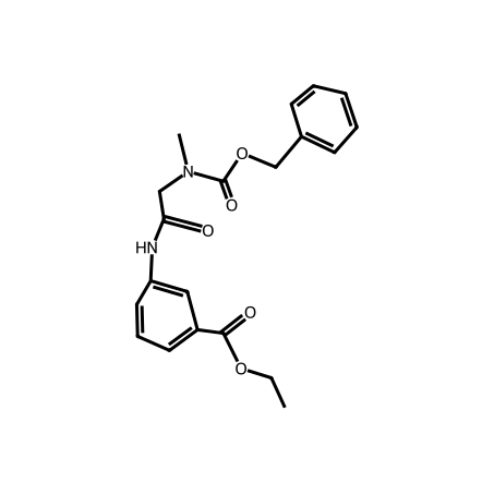 CCOC(=O)c1cccc(NC(=O)CN(C)C(=O)OCc2ccccc2)c1